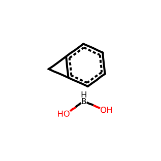 OBO.c1ccc2c(c1)C2